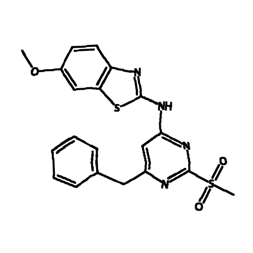 COc1ccc2nc(Nc3cc(Cc4ccccc4)nc(S(C)(=O)=O)n3)sc2c1